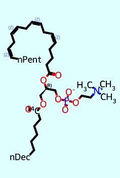 CCCCC/C=C\C/C=C\C/C=C\C/C=C\CCCC(=O)O[C@H](CO[14C](=O)CCCCCCCCCCCCCCC)COP(=O)([O-])OCC[N+](C)(C)C